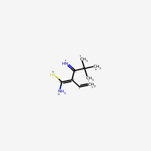 C=C/C(C(=N)C(C)(C)C)=C(\N)S